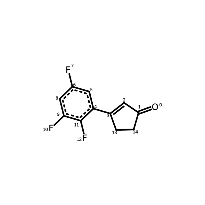 O=C1C=C(c2cc(F)cc(F)c2F)CC1